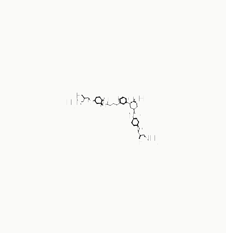 CC1(C)CCC(c2nc3ccc(OC/C(=C/F)CN)cc3o2)CC1c1cccc(CCCc2nc3ccc(OC/C(=C/F)CN)cc3o2)c1